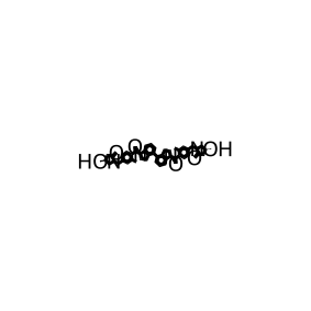 Cc1cc(CN2C[C@H](O)CC2=O)ccc1C(=O)N1CCc2c(-c3cccc4c3CCN4C(=O)c3ccc(CN4C[C@@H](O)CC4=O)cc3C)cccc21